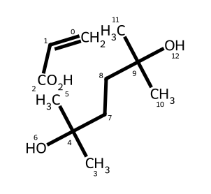 C=CC(=O)O.CC(C)(O)CCC(C)(C)O